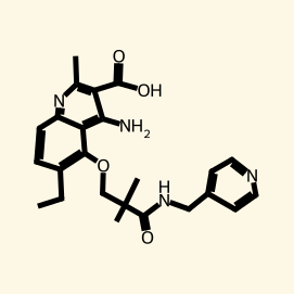 CCc1ccc2nc(C)c(C(=O)O)c(N)c2c1OCC(C)(C)C(=O)NCc1ccncc1